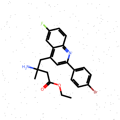 CCOC(=O)CC(C)(N)Cc1cc(-c2ccc(Br)cc2)nc2ccc(F)cc12